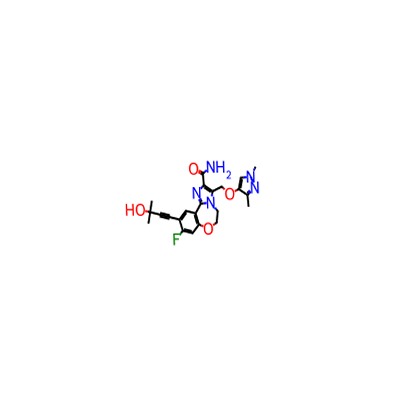 Cc1nn(C)cc1OCc1c(C(N)=O)nc2n1CCOc1cc(F)c(C#CC(C)(C)O)cc1-2